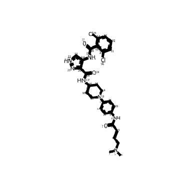 CN(C)CC=CC(=O)Nc1ccc(N2CCC(NC(=O)c3n[nH]cc3NC(=O)c3c(Cl)cccc3Cl)CC2)cc1